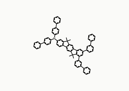 CC1(C)c2cc(N(c3ccc(-c4ccccc4)cc3)c3ccc(-c4ccccc4)cc3)ccc2-c2cc3c(cc21)-c1cc(-c2cccc(-c4ccccc4)c2)cc(-c2cccc(-c4ccccc4)c2)c1C3(C)C